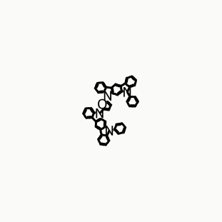 c1ccc(-n2c3ccccc3c3cc4c5ccccc5n(-c5ccc(-n6c7ccccc7c7cc8c9ccccc9n(-c9ccccc9)c8cc76)o5)c4cc32)cc1